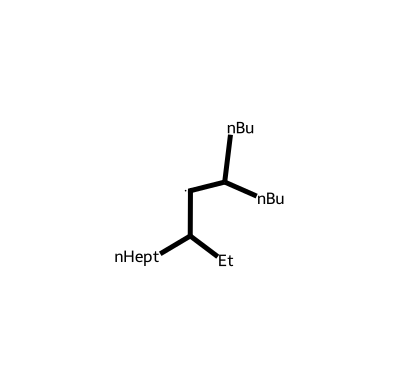 CCCCCCCC([CH]C(CCCC)CCCC)CC